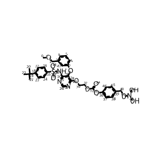 COCc1cccc(Oc2c(NS(=O)(=O)c3ccc(C(C)(C)C)cc3)ncnc2OCCOC(=O)Oc2ccc(CON(O)O)cc2)c1